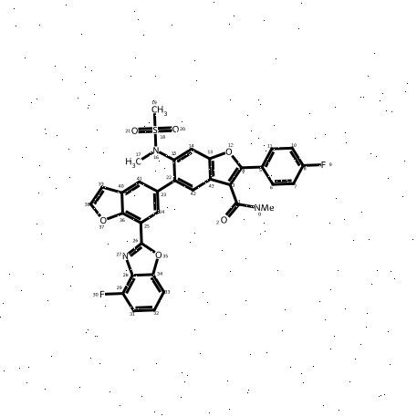 CNC(=O)c1c(-c2ccc(F)cc2)oc2cc(N(C)S(C)(=O)=O)c(-c3cc(-c4nc5c(F)cccc5o4)c4occc4c3)cc12